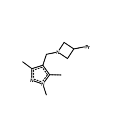 Cc1nn(C)c(C)c1CN1CC(C(C)C)C1